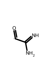 N=C(N)[C]=O